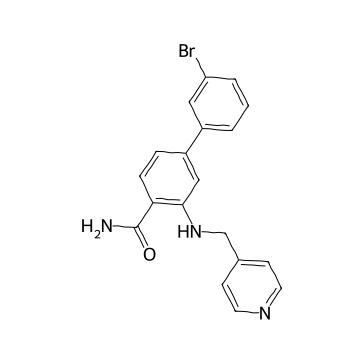 NC(=O)c1ccc(-c2cccc(Br)c2)cc1NCc1ccncc1